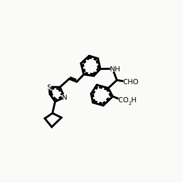 O=CC(Nc1cccc(C=Cc2nc(C3CCC3)cs2)c1)c1ccccc1C(=O)O